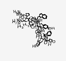 CC(C)C[C@H](NC(=O)C(Cc1ccc2ccccc2c1)NN[C@@H](Cc1ccc(O)cc1)C(=O)C(=O)[C@H](CO)NC(=O)[C@H](Cc1c[nH]c2ccccc12)NCC(=O)[C@H](Cc1c[nH]cn1)NC(=O)C1CCC(=O)N1)C(=O)N[C@@H](CCCNC(N)N)C(=O)C(=O)[C@@H]1CCCN1C(=O)CNN